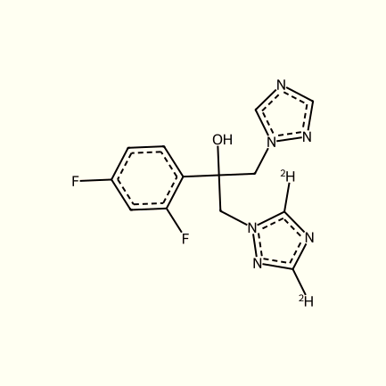 [2H]c1nc([2H])n(CC(O)(Cn2cncn2)c2ccc(F)cc2F)n1